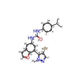 CC(C)c1ccc(NC(=O)Nc2cc(-c3c(Br)cnn3C)c3occc3c2)cc1